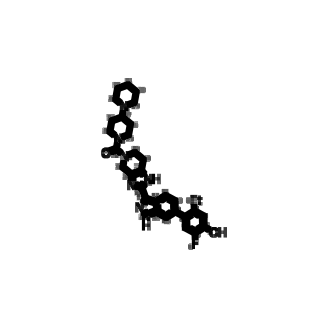 CCc1cc(O)c(F)cc1-c1ccc2c(-c3nc4c([nH]3)CCN(C(=O)N3CCC(N5CCCCC5)CC3)C4)n[nH]c2c1